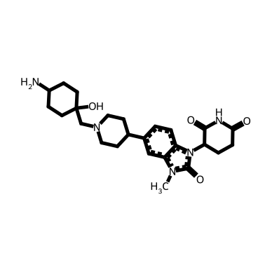 Cn1c(=O)n(C2CCC(=O)NC2=O)c2ccc(C3CCN(CC4(O)CCC(N)CC4)CC3)cc21